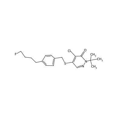 CC(C)(C)n1ncc(SCc2ccc(CCCCF)cc2)c(Cl)c1=O